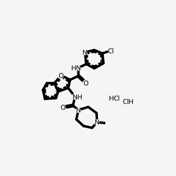 CN1CCCN(C(=O)Nc2c(C(=O)Nc3ccc(Cl)cn3)oc3ccccc23)CC1.Cl.Cl